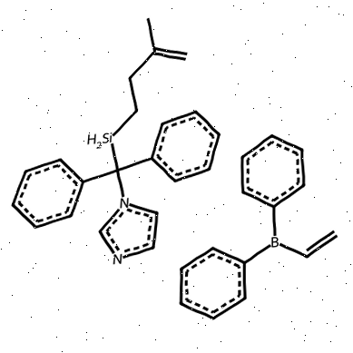 C=C(C)CC[SiH2]C(c1ccccc1)(c1ccccc1)n1ccnc1.C=CB(c1ccccc1)c1ccccc1